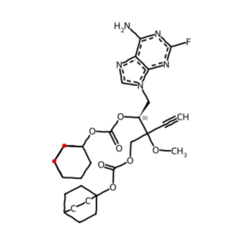 C#CC(COC(=O)OC12CCC(CC1)CC2)(OC)[C@H](Cn1cnc2c(N)nc(F)nc21)OC(=O)OC12CCC(CC1)CC2